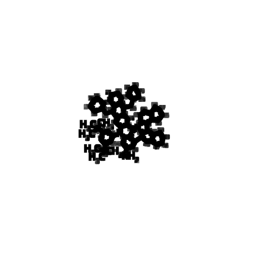 CC(C)(C)c1cc(N2c3cc4c(Cc5ccccc5)c5ccccc5c(Cc5ccccc5)c4cc3B3c4c(cc(N)cc42)-c2cc4ccccc4c4c5c6ccccc6ccc5n3c24)cc(C(C)(C)C)c1